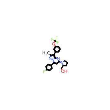 Cc1nn2c(-c3ccc(F)cc3)cc(N3CCCC3CO)nc2c1-c1cccc(OC(F)(F)F)c1